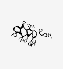 COc1cccc2c1C(=O)c1c(O)c3c(c(O)c1C2=O)C[C@@H](C(=O)CO)CC3O